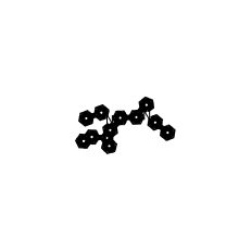 c1ccc(-c2ccc(-n3c4ccccc4c4cc(-c5ccc6c(c5)c5cc7c(cc5n6-c5cccc(-c6ccccc6)c5)C(c5ccc6ccccc6c5)c5ccccc5-7)ccc43)cc2)cc1